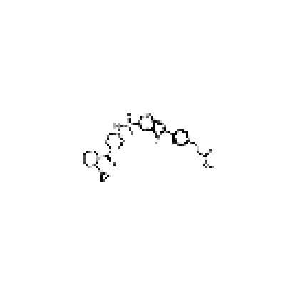 COC(=O)CCc1ccc(-c2cc3ccc(S(=O)(=O)N[C@H]4CC[C@H](C(=O)N5CCOCC5C5CC5)CC4)cc3n2C)cc1